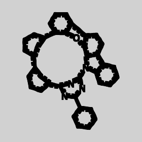 c1ccc(-c2nc3nc(n2)n2c4ccccc4c4ccc5c6cccc(c7cccc(c7)c7cccc3c7)c6oc5c42)cc1